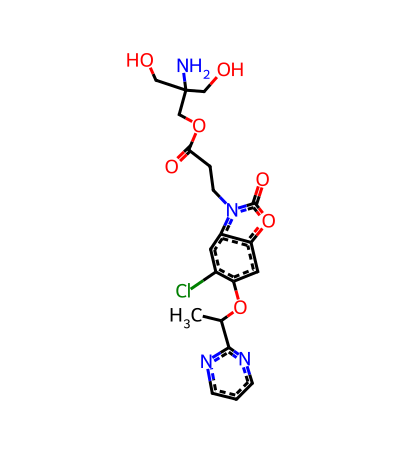 CC(Oc1cc2oc(=O)n(CCC(=O)OCC(N)(CO)CO)c2cc1Cl)c1ncccn1